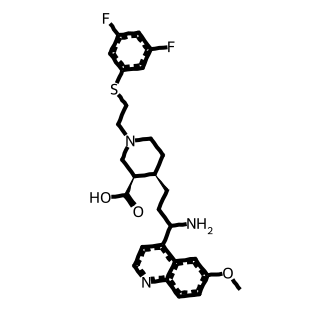 COc1ccc2nccc(C(N)CC[C@@H]3CCN(CCSc4cc(F)cc(F)c4)C[C@@H]3C(=O)O)c2c1